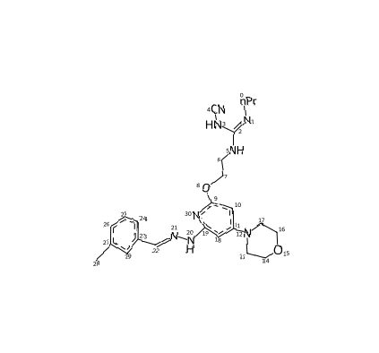 CCCN=C(NC#N)NCCOc1cc(N2CCOCC2)cc(NN=Cc2cccc(C)c2)n1